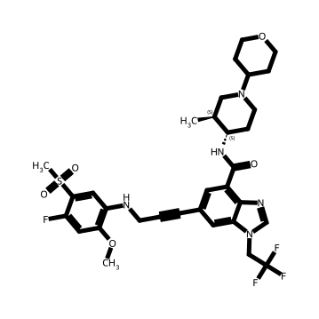 COc1cc(F)c(S(C)(=O)=O)cc1NCC#Cc1cc(C(=O)N[C@H]2CCN(C3CCOCC3)C[C@@H]2C)c2ncn(CC(F)(F)F)c2c1